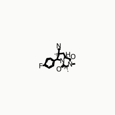 C[C@@H]1C(=O)N2C(c3ccc(F)cc3)[C@@](C)(C#N)C[C@H]2C(=O)N1C